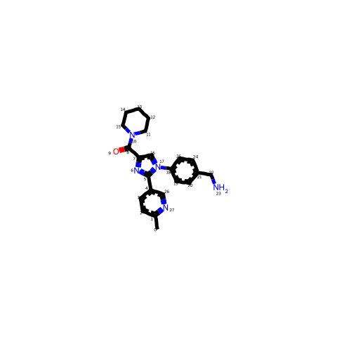 Cc1ccc(-c2nc(C(=O)N3CCCCC3)cn2-c2ccc(CN)cc2)cn1